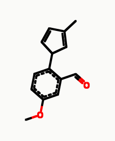 COc1ccc(C2C=CC(C)=C2)c(C=O)c1